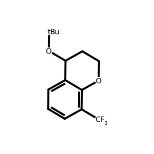 CC(C)(C)OC1CCOc2c1cccc2C(F)(F)F